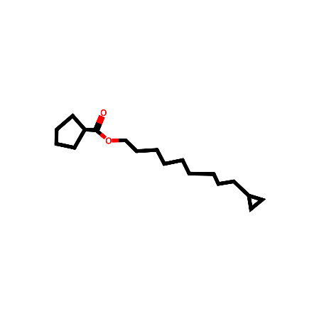 O=C(OCCCCCCCCCC1CC1)C1CCCC1